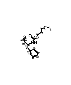 CCCCOC(=O)N[C@@H](Cc1ccccc1)[C@H]1CO1